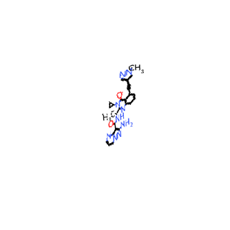 C[C@H](NC(=O)c1c(N)nn2cccnc12)c1nc2cccc(C#Cc3cnn(C)c3)c2c(=O)n1C1CC1